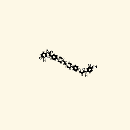 C[C@H](COc1ccc(N2CCN(CCN3CCN(c4ccc(CC(=O)N(C)C5CCC(=O)NC5=O)cc4)CC3)CC2)cc1)C(=O)Nc1ccc(C#N)c(C(F)(F)F)c1